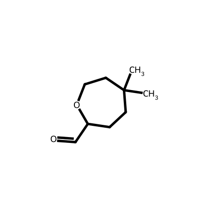 CC1(C)CCOC(C=O)CC1